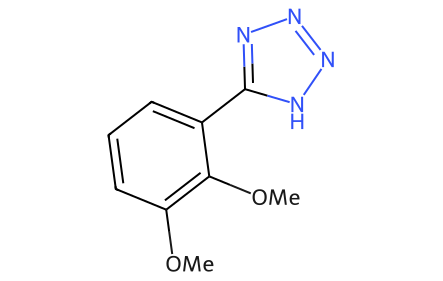 COc1cccc(-c2nnn[nH]2)c1OC